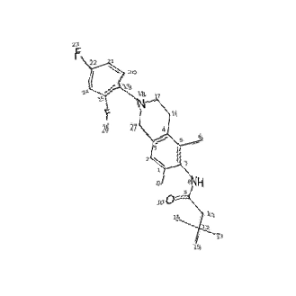 Cc1cc2c(c(C)c1NC(=O)CC(C)(C)C)CCN(c1ccc(F)cc1F)C2